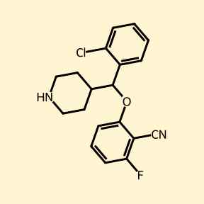 N#Cc1c(F)cccc1OC(c1ccccc1Cl)C1CCNCC1